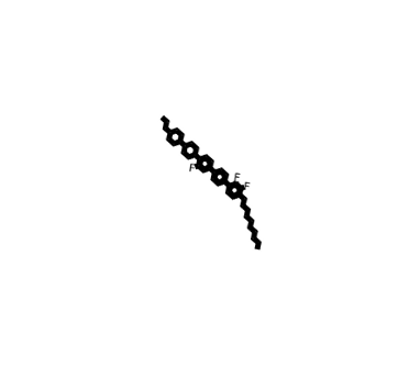 CCCCCCCCCCc1ccc(-c2ccc(-c3ccc(C4CCC(C5CCC(CCC)CC5)CC4)c(F)c3)cc2)c(F)c1F